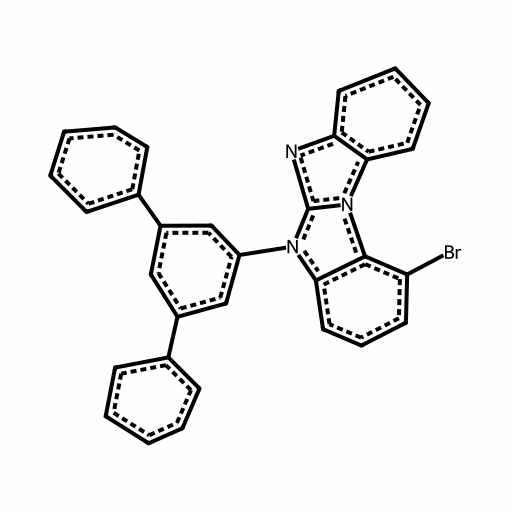 Brc1cccc2c1n1c3ccccc3nc1n2-c1cc(-c2ccccc2)cc(-c2ccccc2)c1